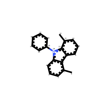 Cc1cccc2c1c1cccc(C)c1n2-c1ccccc1